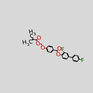 C=C(C)C(=O)OCOc1ccc(C(=O)Oc2ccc(-c3ccc(F)cc3)cc2F)cc1